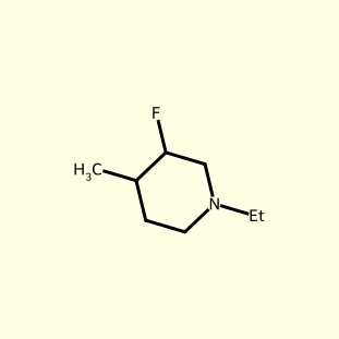 CCN1CCC(C)C(F)C1